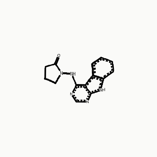 O=C1CCCN1Nc1ncnc2[nH]c3ccccc3c12